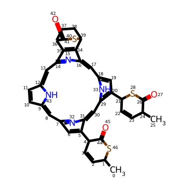 CC1C=CC(C2=Cc3cc4ccc(cc5nc(cc6cc(C7C=CC(C)C(=O)S7)c(cc2n3)[nH]6)C2=C5C3CCC2SC3=O)[nH]4)C(=O)S1